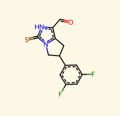 O=Cc1[nH]c(=S)n2c1CC(c1cc(F)cc(F)c1)C2